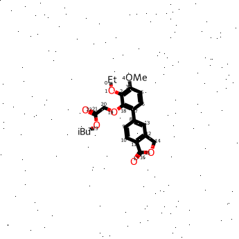 CCOc1c(OC)ccc(-c2ccc3c(c2)COC3=O)c1OCC(=O)OC(C)CC